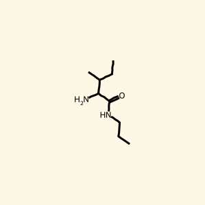 CCCNC(=O)C(N)C(C)CC